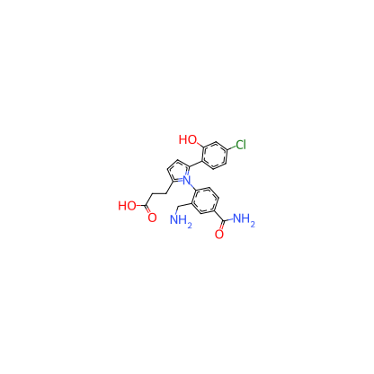 NCc1cc(C(N)=O)ccc1-n1c(CCC(=O)O)ccc1-c1ccc(Cl)cc1O